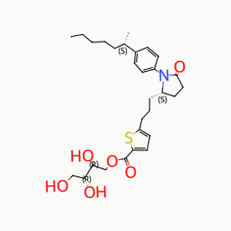 CCCCC[C@H](C)c1ccc(N2C(=O)CC[C@@H]2CCCc2ccc(C(=O)OC[C@@H](O)[C@H](O)CO)s2)cc1